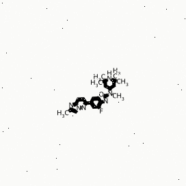 Cc1cn2nc(-c3cc(F)c4nc(N(C)C5CC(C)(C)NC(C)(C)C5)oc4c3)ccc2n1